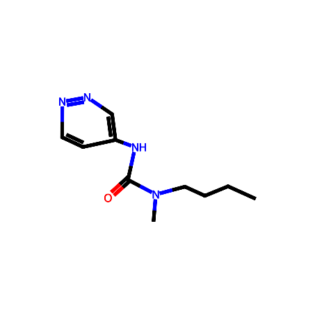 CCCCN(C)C(=O)Nc1ccnnc1